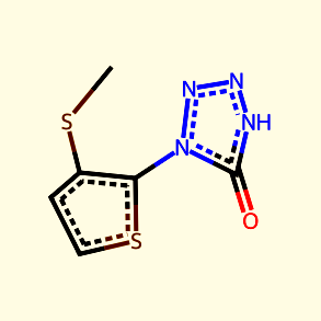 CSc1ccsc1-n1nn[nH]c1=O